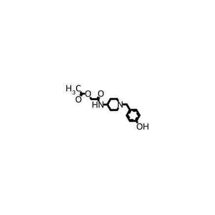 CC(=O)OCC(=O)NC1CCN(Cc2ccc(O)cc2)CC1